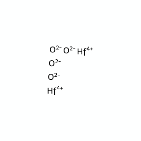 [Hf+4].[Hf+4].[O-2].[O-2].[O-2].[O-2]